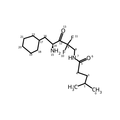 CC(C)CCC(=O)NCC(F)(F)C(=O)[C@@H](N)CC1CCCCC1